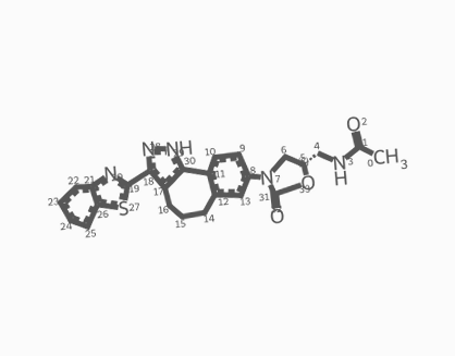 CC(=O)NC[C@H]1CN(c2ccc3c(c2)CCCc2c(-c4nc5ccccc5s4)n[nH]c2-3)C(=O)O1